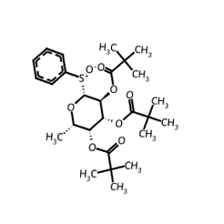 C[C@@H]1O[C@H]([S+]([O-])c2ccccc2)[C@@H](OC(=O)C(C)(C)C)[C@H](OC(=O)C(C)(C)C)[C@@H]1OC(=O)C(C)(C)C